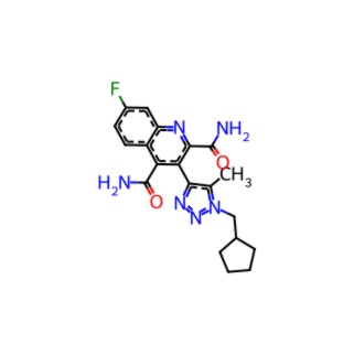 Cc1c(-c2c(C(N)=O)nc3cc(F)ccc3c2C(N)=O)nnn1CC1CCCC1